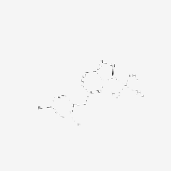 CC(C)(C)c1nnc2ccc(Cc3ccc(F)cc3F)cn12